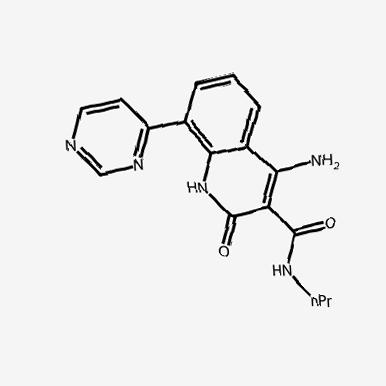 CCCNC(=O)c1c(N)c2cccc(-c3ccncn3)c2[nH]c1=O